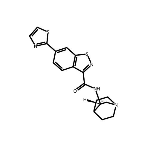 O=C(N[C@@H]1CN2CCC1CC2)c1nsc2cc(-c3nccs3)ccc12